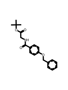 CC(C)(C)OC(=O)CNC(=O)c1ccc(OCc2ccccc2)cc1